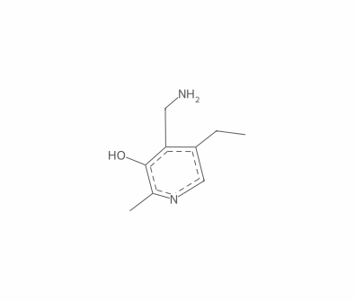 CCc1cnc(C)c(O)c1CN